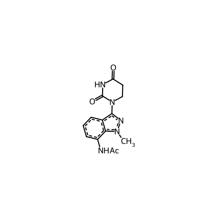 CC(=O)Nc1cccc2c(N3CCC(=O)NC3=O)nn(C)c12